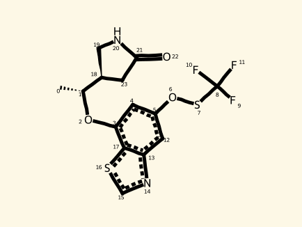 C[C@@H](Oc1cc(OSC(F)(F)F)cc2ncsc12)[C@H]1CNC(=O)C1